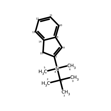 CC(C)(C)[Si](C)(C)C1=Cc2ccccc2[CH]1